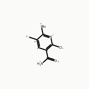 CC(C)(C)c1nc(Cl)c(C(N)=O)cc1I